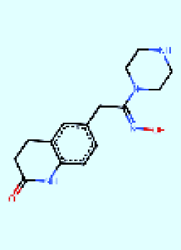 O=C1CCc2cc(CC(=NO)N3CCNCC3)ccc2N1